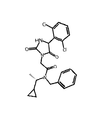 C[C@@H](C1CC1)N(Cc1ccccc1)C(=O)CN1C(=O)NC(c2c(Cl)cccc2Cl)C1=O